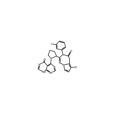 O=C1Cc2c(Cl)ccn2N=C(C2CCCN2c2ncnc3[nH]cnc(=O)c23)N1c1cccc(F)c1